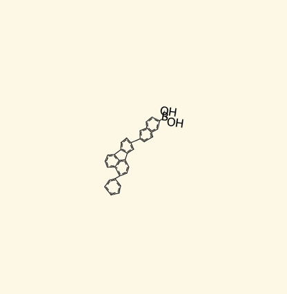 OB(O)c1ccc2cc(-c3ccc4c(c3)-c3ccc(-c5ccccc5)c5cccc-4c35)ccc2c1